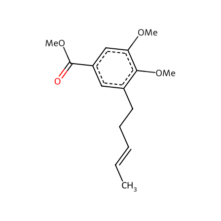 CC=CCCc1cc(C(=O)OC)cc(OC)c1OC